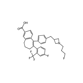 O=C(O)c1ccc2c(c1)CCCC(c1ccc(F)cc1C(F)(F)F)=C2c1ccc(CC2CN(CCCF)C2)cc1